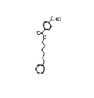 O=Cc1ccc(C(=O)OCCCCCCc2ccccc2)cc1